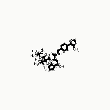 Cc1ncsc1-c1ccc(CNC(=O)c2cc(O)c3cccc-3n2C(=O)C(N)(C(=O)OC(C)(C)C)C(C)(C)C)cc1